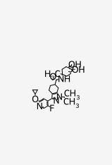 CC(C)n1nc(-c2cc(OC3CC3)ncc2F)c2c1CC(C(=O)NC1(C)CCS(O)(O)CC1)CC2